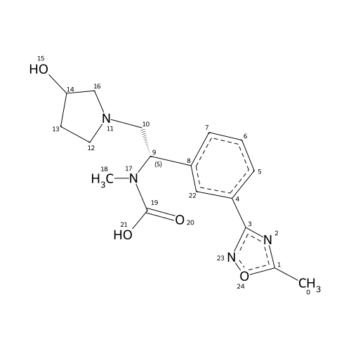 Cc1nc(-c2cccc([C@@H](CN3CCC(O)C3)N(C)C(=O)O)c2)no1